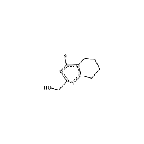 OCc1cc(Br)c2c(n1)CCCC2